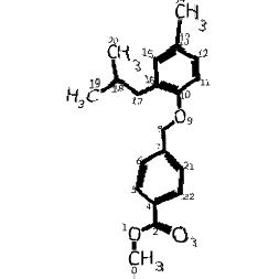 COC(=O)c1ccc(COc2ccc(C)cc2CC(C)C)cc1